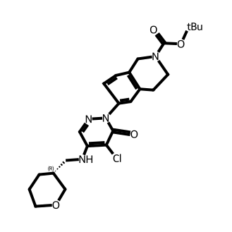 CC(C)(C)OC(=O)N1CCc2cc(-n3ncc(NC[C@H]4CCCOC4)c(Cl)c3=O)ccc2C1